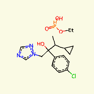 CC(C1CC1)C(O)(Cn1cncn1)c1ccc(Cl)cc1.CCO[PH](=O)O